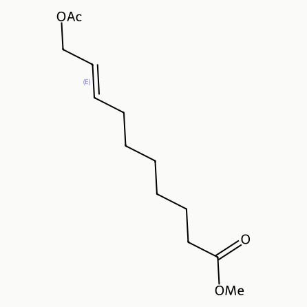 COC(=O)CCCCCC/C=C/COC(C)=O